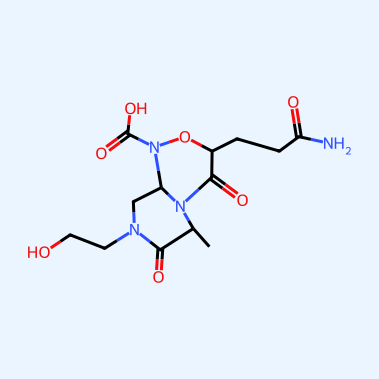 CC1C(=O)N(CCO)CC2N(C(=O)O)OC(CCC(N)=O)C(=O)N12